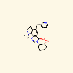 CN1CC=Cc2c(Cc3cccnc3)cc3c(=O)n([C@H]4CCCC[C@@H]4O)cnc3c21